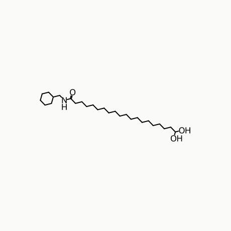 O=C(CCCCCCCCCCCCCCCCCCC(O)O)NCC1CCCCC1